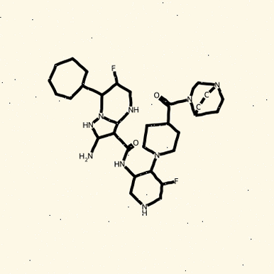 NC1NN2C(NCC(F)C2C2CCCCCC2)C1C(=O)NC1CNCC(F)C1N1CCC(C(=O)N2CCN3CCC2CC3)CC1